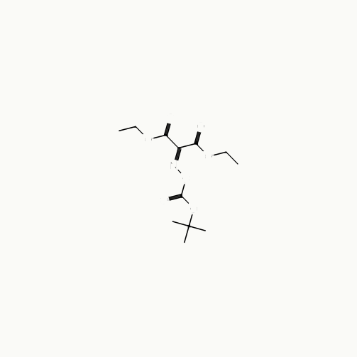 CCOC(=O)C(=NOC(=O)OC(C)(C)C)C(=O)OCC